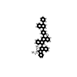 CC1(C)c2ccccc2-c2c1cc(-c1cc3c4cccc5c4c(cc3c3ccccc13)-c1ccc(-c3ccc(-c4ccccc4)c4ccccc34)cc1O5)c1ccccc21